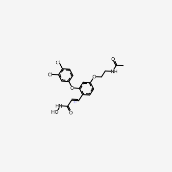 CC(=O)NCCOc1ccc(/C=C/C(=O)NO)c(Oc2ccc(Cl)c(Cl)c2)c1